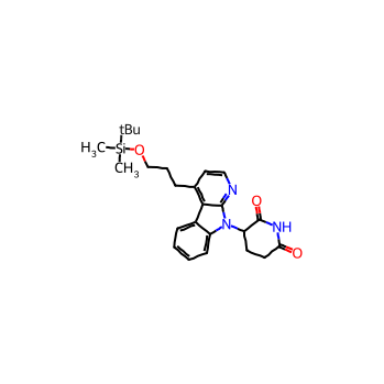 CC(C)(C)[Si](C)(C)OCCCc1ccnc2c1c1ccccc1n2C1CCC(=O)NC1=O